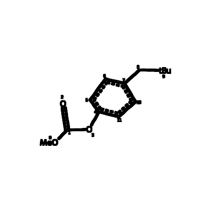 COC(=O)Oc1ccc(CC(C)(C)C)cc1